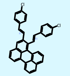 Clc1ccc(/C=C/c2cc3cccc4c5cccc6cccc(c(c2/C=C/c2ccc(Cl)cc2)c34)c65)cc1